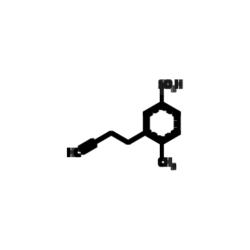 C#CCCc1cc(S(=O)(=O)O)ccc1C